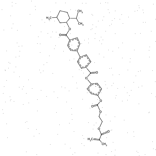 C=C(C)C(=O)OCCOC(=O)Oc1ccc(OC(=O)c2ccc(-c3ccc(C(=O)OC4CC(C)CCC4C(C)C)cc3)cc2)cc1